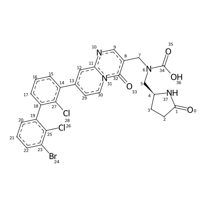 O=C1CC[C@@H](CN(Cc2cnc3cc(-c4cccc(-c5cccc(Br)c5Cl)c4Cl)ccn3c2=O)C(=O)O)N1